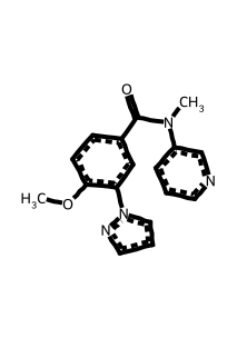 COc1ccc(C(=O)N(C)c2cccnc2)cc1-n1cccn1